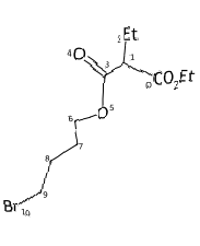 CCOC(=O)C(CC)C(=O)OCCCCBr